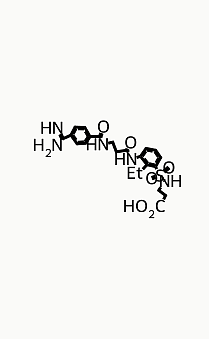 CCc1c(NC(=O)CCNC(=O)c2ccc(C(=N)N)cc2)cccc1S(=O)(=O)NCCC(=O)O